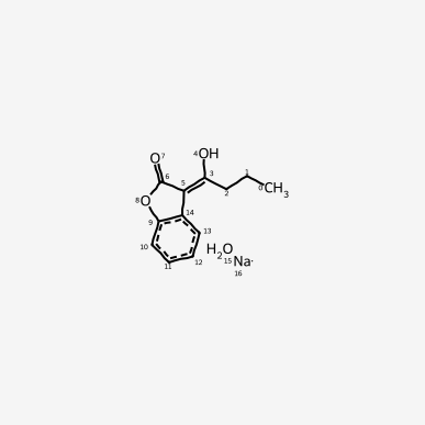 CCC/C(O)=C1/C(=O)Oc2ccccc21.O.[Na]